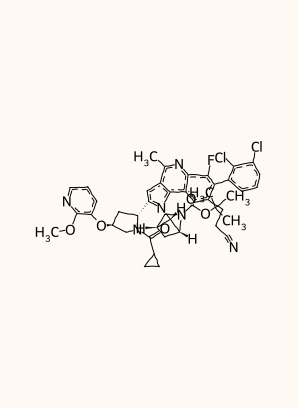 COc1ncccc1O[C@H]1C[C@H](c2cc3c(C)nc4c(F)c(-c5cccc(Cl)c5Cl)c(CCC#N)cc4c3n2[C@H]2[C@@H]3C[C@H]2N(C(=O)OC(C)(C)C)C3)N(C(=O)C2CC2)C1